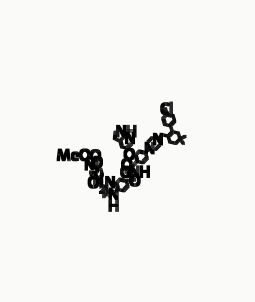 COC(=O)N=S1(=O)CCN(CC[C@H](C)Nc2ccc(S(=O)(=O)NC(=O)c3ccc(N4CCN(CC5=C(c6ccc(Cl)cc6)CC(C)(C)CC5)CC4)cc3Oc3cnc4[nH]ccc4c3)cc2[N+](=O)[O-])CC1